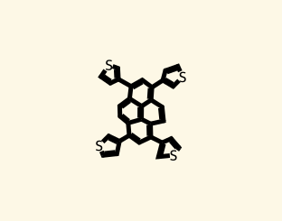 c1cc(-c2cc(-c3ccsc3)c3ccc4c(-c5ccsc5)cc(-c5ccsc5)c5ccc2c3c54)cs1